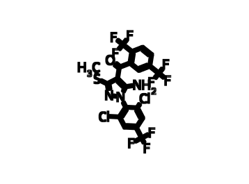 CSc1nn(-c2c(Cl)cc(C(F)(F)F)cc2Cl)c(N)c1C(=O)c1cc(C(F)(F)F)ccc1C(F)(F)F